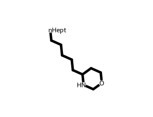 CCCCCCCCCCCCC1CCOCN1